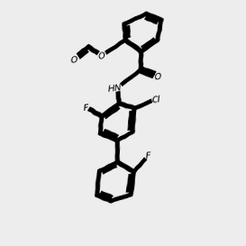 O=COc1ccccc1C(=O)Nc1c(F)cc(-c2ccccc2F)cc1Cl